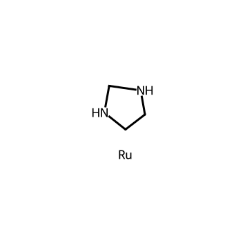 C1CNCN1.[Ru]